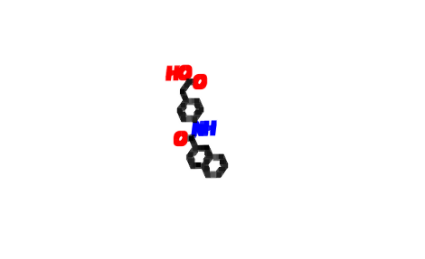 O=C(O)Cc1ccc(NC(=O)c2ccc3ccccc3c2)cc1